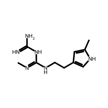 C/N=C(/NCCc1c[nH]c(C)c1)NC(=N)N